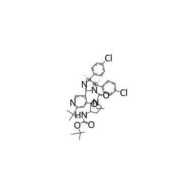 CCOc1cc(C(C)(C)C)ncc1C1=N[C@@](C)(c2ccc(Cl)cc2)[C@@](C)(c2ccc(Cl)cc2)N1C(=O)N1CCC(NC(=O)OC(C)(C)C)C1